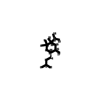 CC(C)CC[C@@H]1CC(C)(C)C(C)(P(C)C)CC1C